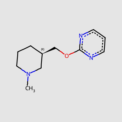 CN1CCC[C@@H](COc2ncccn2)C1